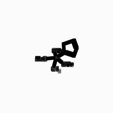 C[O][Ti]([CH3])([O]C)([O]C)[C]1=CC=CC1